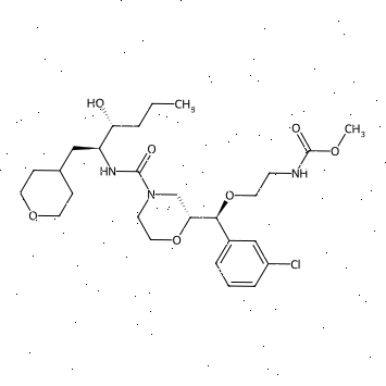 CCC[C@@H](O)[C@H](CC1CCOCC1)NC(=O)N1CCO[C@@H]([C@@H](OCCNC(=O)OC)c2cccc(Cl)c2)C1